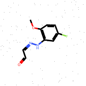 COc1ccc(F)cc1N/N=C\C=O